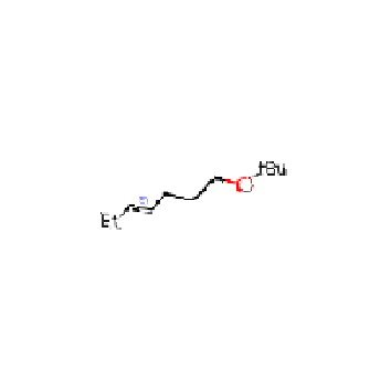 CC/C=C/CCCOC(C)(C)C